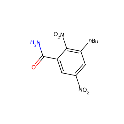 CCCCc1cc([N+](=O)[O-])cc(C(N)=O)c1[N+](=O)[O-]